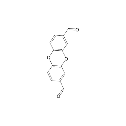 O=Cc1ccc2c(c1)Oc1cc(C=O)ccc1O2